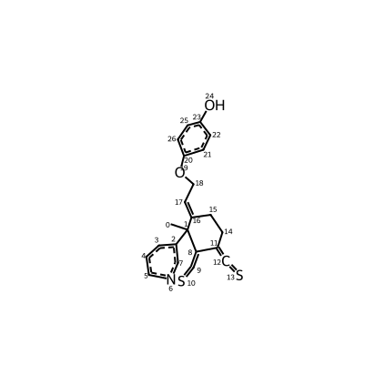 CC1(c2cccnc2)C(=C=S)C(=C=S)CCC1=CCOc1ccc(O)cc1